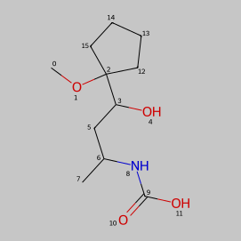 COC1(C(O)CC(C)NC(=O)O)CCCC1